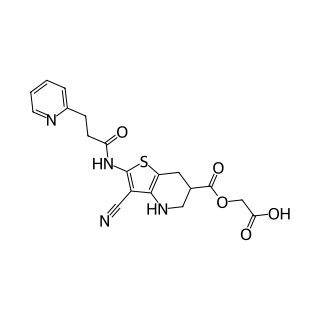 N#Cc1c(NC(=O)CCc2ccccn2)sc2c1NCC(C(=O)OCC(=O)O)C2